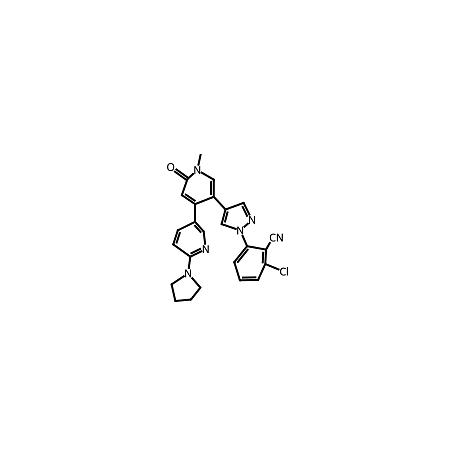 Cn1cc(-c2cnn(-c3cccc(Cl)c3C#N)c2)c(-c2ccc(N3CCCC3)nc2)cc1=O